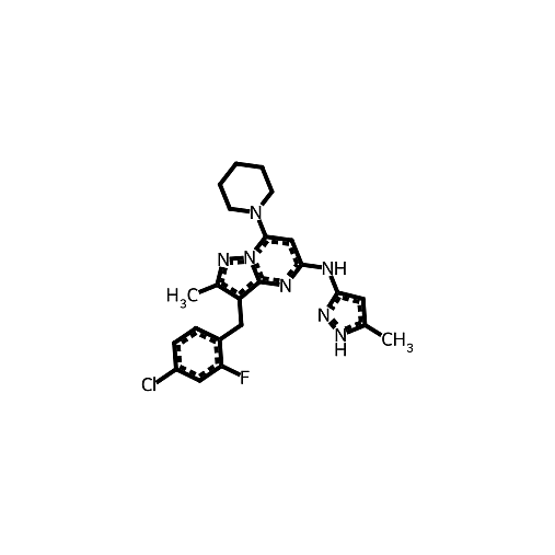 Cc1cc(Nc2cc(N3CCCCC3)n3nc(C)c(Cc4ccc(Cl)cc4F)c3n2)n[nH]1